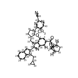 COc1cc(C(=O)N2C[C@H]3CC[C@@H]2[C@@H]3N)cc2nc(-c3cc4ccccc4n3CC3CC3)n(C[C@H]3CCN(c4ccnc(C#N)n4)C3)c12